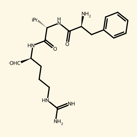 CC(C)[C@H](NC(=O)[C@@H](N)Cc1ccccc1)C(=O)N[C@H]([C]=O)CCCNC(=N)N